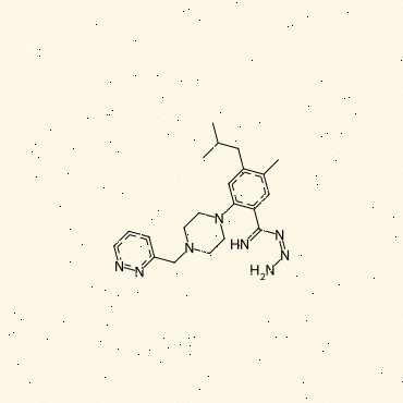 Cc1cc(C(=N)/N=N\N)c(N2CCN(Cc3cccnn3)CC2)cc1CC(C)C